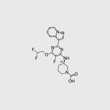 O=C(O)N1CCC[C@@H](Nc2nc(-c3cnn4ccccc34)nc(OCC(F)F)c2F)C1